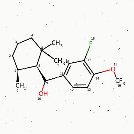 C[C@H]1CCCC(C)(C)[C@H]1C(O)c1ccc(OC(F)(F)F)c(F)c1